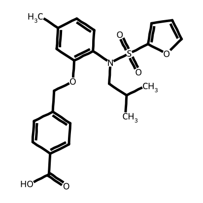 Cc1ccc(N(CC(C)C)S(=O)(=O)c2ccco2)c(OCc2ccc(C(=O)O)cc2)c1